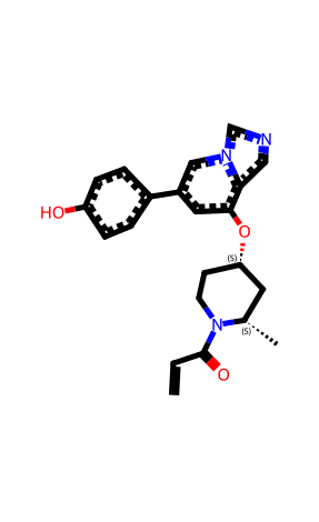 C=CC(=O)N1CC[C@H](Oc2cc(-c3ccc(O)cc3)cn3cncc23)C[C@@H]1C